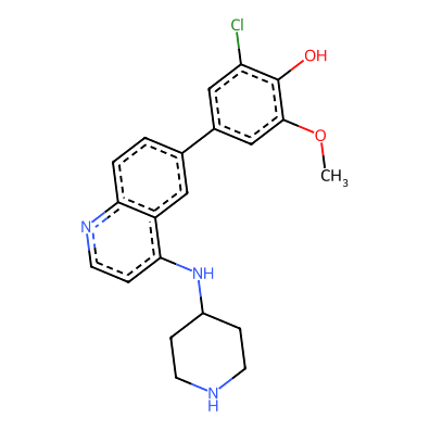 COc1cc(-c2ccc3nccc(NC4CCNCC4)c3c2)cc(Cl)c1O